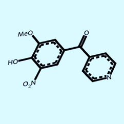 COc1cc(C(=O)c2ccncc2)cc([N+](=O)[O-])c1O